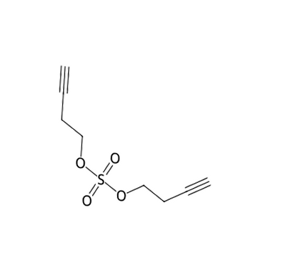 C#CCCOS(=O)(=O)OCCC#C